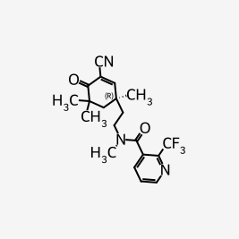 CN(CC[C@]1(C)C=C(C#N)C(=O)C(C)(C)C1)C(=O)c1cccnc1C(F)(F)F